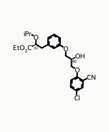 CCOC(=O)[C@H](Cc1cccc(OC[C@@H](O)COc2ccc(Cl)cc2C#N)c1)OC(C)C